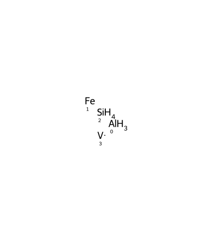 [AlH3].[Fe].[SiH4].[V]